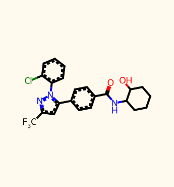 O=C(NC1CCCCC1O)c1ccc(-c2cc(C(F)(F)F)nn2-c2ccccc2Cl)cc1